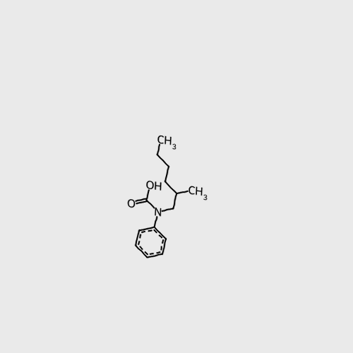 CCCCC(C)CN(C(=O)O)c1ccccc1